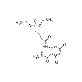 CCOP(=O)(CCCC(=O)Nc1cc(Cl)cc(Cl)c1C(=O)NC)OCC